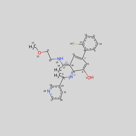 C=C(/N=C1/C(O)=CC(c2ccccc2F)=C/C1=C(/C)NCCOC)c1cccnc1